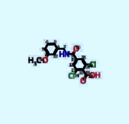 COc1cccc(CNC(=O)c2cc(Cl)c(C(=O)O)c(Cl)c2)c1